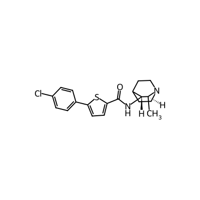 C[C@H]1[C@H](NC(=O)c2ccc(-c3ccc(Cl)cc3)s2)C2CCN1CC2